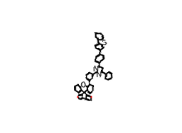 c1ccc(-c2cc(-c3ccc(-c4ccc5c(c4)sc4ccccc45)cc3)nc(-c3cccc(-c4cccc5c4Oc4ccccc4C54c5ccccc5-c5ccccc54)c3)n2)cc1